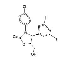 O=C1O[C@@H](CO)[C@H](c2cc(F)cc(F)c2)N1c1ccc(Cl)cc1